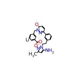 Cc1cc(N)n(CCc2cccc(-c3ccc(=O)n(Cc4cccc(C(=O)[O-])c4)n3)c2)n1.[Li+]